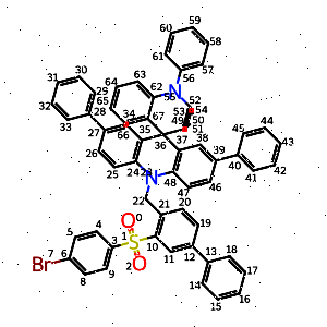 O=S(=O)(c1ccc(Br)cc1)c1cc(-c2ccccc2)ccc1CN1c2ccc(-c3ccccc3)cc2C2(c3cc(-c4ccccc4)ccc31)c1ccccc1N(c1ccccc1)c1ccccc12